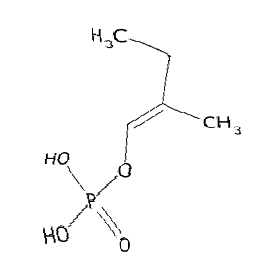 CCC(C)=COP(=O)(O)O